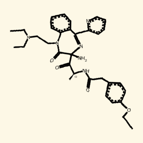 CCOc1ccc(CC(=O)N[C@@H](C)C(=O)C2(N)N=C(c3ccccn3)c3ccccc3N(CCN(CC)CC)C2=O)cc1